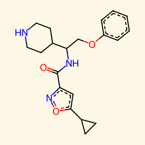 O=C(NC(COc1ccccc1)C1CCNCC1)c1cc(C2CC2)on1